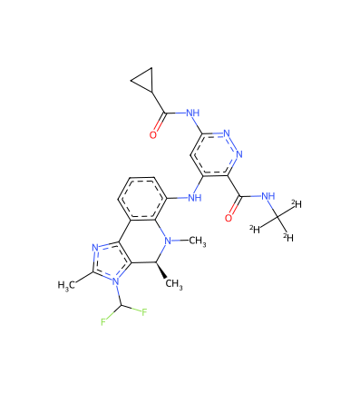 [2H]C([2H])([2H])NC(=O)c1nnc(NC(=O)C2CC2)cc1Nc1cccc2c1N(C)[C@@H](C)c1c-2nc(C)n1C(F)F